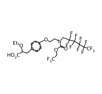 CCOC(Cc1ccc(OCCN(CC(F)(F)C(F)(F)C(F)(F)C(F)(F)C(F)(F)F)C(=O)OCC(F)(F)F)cc1)C(=O)O